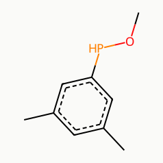 COPc1cc(C)cc(C)c1